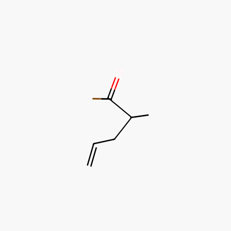 C=CCC(C)C(=O)[S]